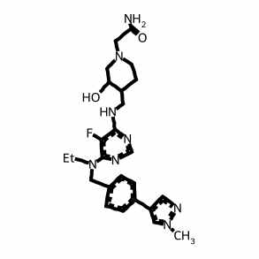 CCN(Cc1ccc(-c2cnn(C)c2)cc1)c1ncnc(NCC2CCN(CC(N)=O)CC2O)c1F